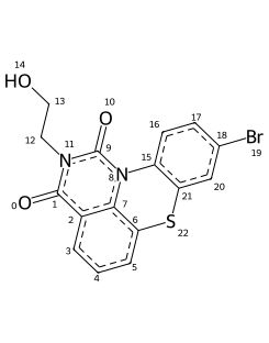 O=c1c2cccc3c2n(c(=O)n1CCO)-c1ccc(Br)cc1S3